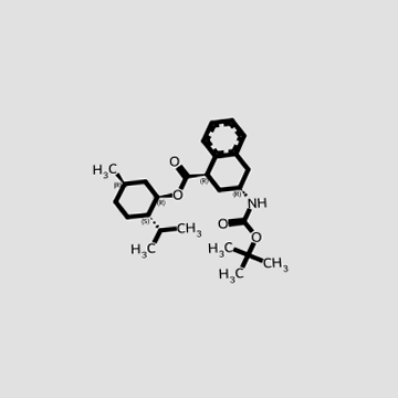 CC(C)[C@@H]1CC[C@@H](C)C[C@H]1OC(=O)[C@@H]1C[C@@H](NC(=O)OC(C)(C)C)Cc2ccccc21